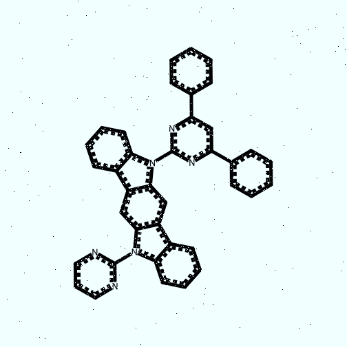 c1ccc(-c2cc(-c3ccccc3)nc(-n3c4ccccc4c4cc5c(cc43)c3ccccc3n5-c3ncccn3)n2)cc1